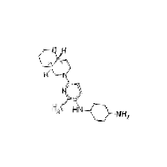 Cc1nc(N2CC[C@H]3OCCC[C@@H]3C2)ccc1NC1CCC(N)CC1